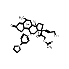 CC(=O)OCC(=O)[C@@]1(C#CCO)CC[C@H]2[C@@H]3CC(C)C4=CC(=O)CCC4=C3[C@@H](c3ccc(N4CCCC4)cc3)C[C@@]21C